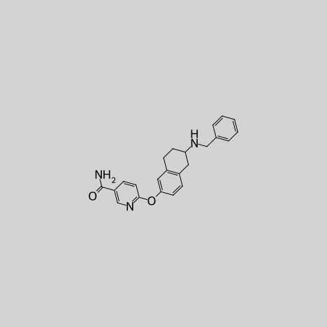 NC(=O)c1ccc(Oc2ccc3c(c2)CCC(NCc2ccccc2)C3)nc1